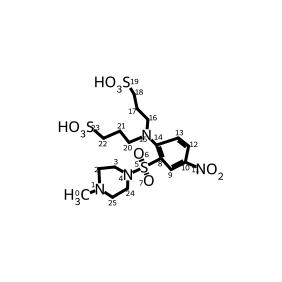 CN1CCN(S(=O)(=O)c2cc([N+](=O)[O-])ccc2N(CCCS(=O)(=O)O)CCCS(=O)(=O)O)CC1